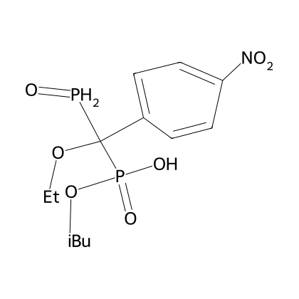 CCOC([PH2]=O)(c1ccc([N+](=O)[O-])cc1)P(=O)(O)OC(C)CC